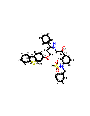 CS(=O)(=O)N(Cc1ccccc1)c1cccc(C(=O)CNC(CCOc2ccc3c(c2)sc2ccccc23)c2ccccc2)c1